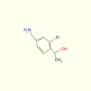 CC(O)c1ccc(CN)cc1Br